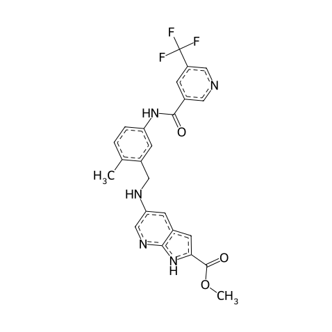 COC(=O)c1cc2cc(NCc3cc(NC(=O)c4cncc(C(F)(F)F)c4)ccc3C)cnc2[nH]1